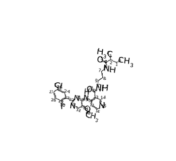 CCC(C)C(=O)NCCCNC(=O)c1cnccc1Nc1nc(-c2cc(Cl)ccc2F)ncc1OC